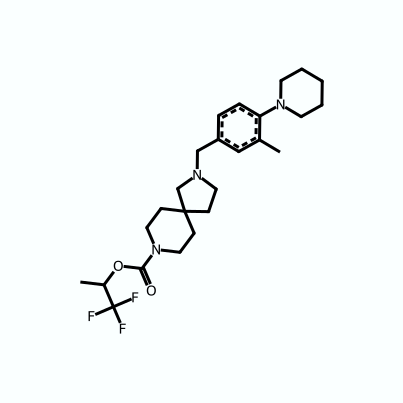 Cc1cc(CN2CCC3(CCN(C(=O)OC(C)C(F)(F)F)CC3)C2)ccc1N1CCCCC1